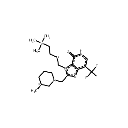 C[C@H]1CCCN(Cc2nc3c(C(F)(F)F)c[nH]c(=O)c3n2COCC[Si](C)(C)C)C1